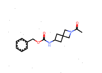 CC(=O)N1CC2(CC(NC(=O)OCc3ccccc3)C2)C1